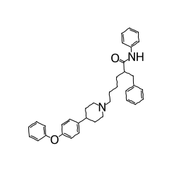 O=C(Nc1ccccc1)C(CCCCN1CCC(c2ccc(Oc3ccccc3)cc2)CC1)Cc1ccccc1